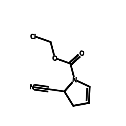 N#CC1CC=CN1C(=O)OCCl